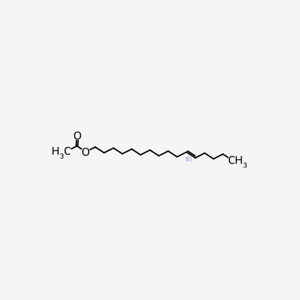 CCCC/C=C/CCCCCCCCCCOC(C)=O